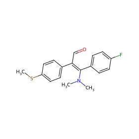 CSc1ccc(C(C=O)=C(c2ccc(F)cc2)N(C)C)cc1